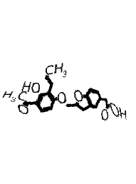 CCCc1c(OCC2Cc3cc(CC(=O)O)ccc3O2)ccc(C(C)=O)c1O